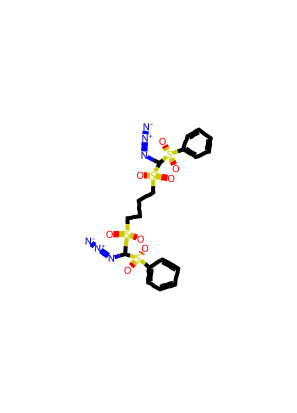 [N-]=[N+]=NC(S(=O)(=O)CCCCS(=O)(=O)C(N=[N+]=[N-])S(=O)(=O)c1ccccc1)S(=O)(=O)c1ccccc1